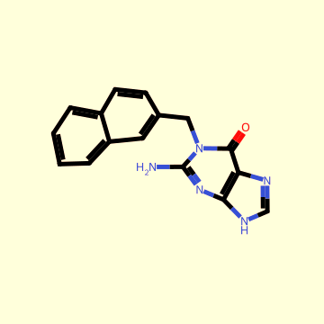 Nc1nc2[nH]cnc2c(=O)n1Cc1ccc2ccccc2c1